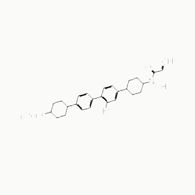 C=CC(=O)N(C)C1CCC(c2ccc(-c3ccc(C4CCC(CCCCC)CC4)cc3)c(CC)c2)CC1